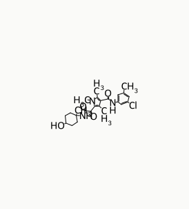 Cc1cc(Cl)cc(NC(=O)c2c(C)c(C(=O)C(=O)NC3(C)CCC(O)CC3)n(C)c2C)c1